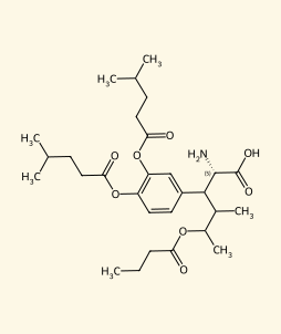 CCCC(=O)OC(C)C(C)C(c1ccc(OC(=O)CCC(C)C)c(OC(=O)CCC(C)C)c1)[C@H](N)C(=O)O